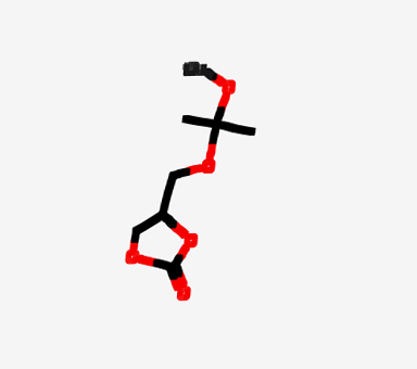 CC(C)(C)OC(C)(C)OCC1COC(=O)O1